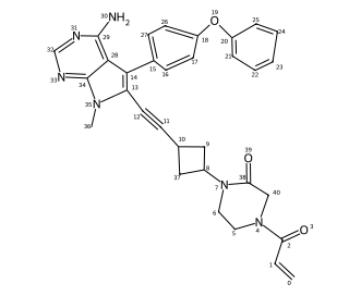 C=CC(=O)N1CCN(C2CC(C#Cc3c(-c4ccc(Oc5ccccc5)cc4)c4c(N)ncnc4n3C)C2)C(=O)C1